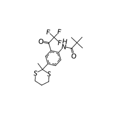 CC(C)(C)C(=O)Nc1ccc(C2(C)SCCCS2)cc1C(=O)C(F)(F)F